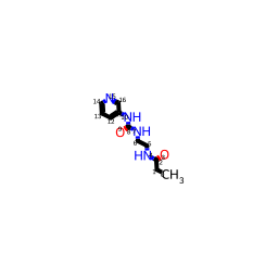 CCC(=O)NCCNC(=O)Nc1cccnc1